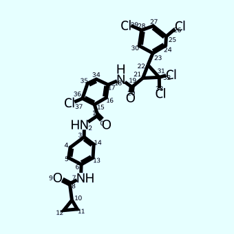 O=C(Nc1ccc(NC(=O)C2CC2)cc1)c1cc(NC(=O)C2C(c3cc(Cl)cc(Cl)c3)C2(Cl)Cl)ccc1Cl